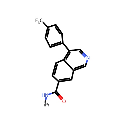 CC(C)NC(=O)c1ccc2c(-c3ccc(C(F)(F)F)cc3)cncc2c1